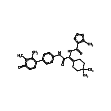 Cc1c(-c2ccc(NC(=O)C(NC(=O)c3ccnn3C)=C3CCC(C)(C)CC3)cc2)ccc(=O)n1C